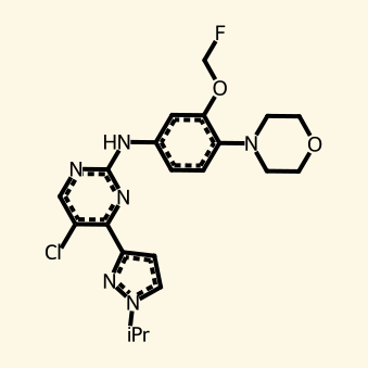 CC(C)n1ccc(-c2nc(Nc3ccc(N4CCOCC4)c(OCF)c3)ncc2Cl)n1